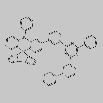 c1ccc(-c2cccc(-c3nc(-c4ccccc4)nc(-c4cccc(-c5ccc6c(c5)N(c5ccccc5)c5ccccc5C65c6ccccc6-c6ccccc65)c4)n3)c2)cc1